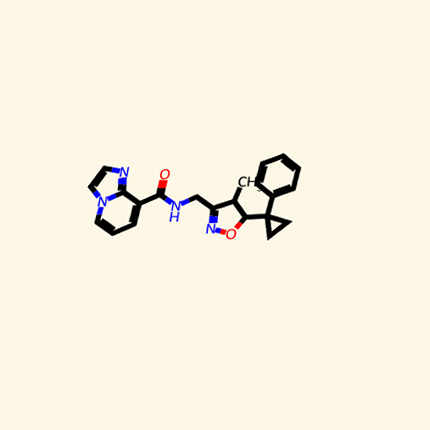 CC1C(CNC(=O)c2cccn3ccnc23)=NOC1C1(c2ccccc2)CC1